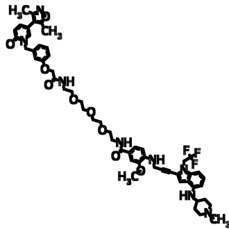 COc1cc(C(=O)NCCOCCOCCOCCNC(=O)COc2cccc(Cn3cc(-c4c(C)noc4C)ccc3=O)c2)ccc1NCC#Cc1cc2c(NC3CCN(C)CC3)cccc2n1CC(F)(F)F